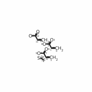 C=CC(=O)[O-].C=CC(=O)[O-].C=CC(=O)[O-].F[Si+3]